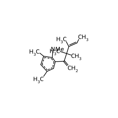 C=C(c1cc(C)cc(C)c1NC)C(C)(C)/C(C)=C/C